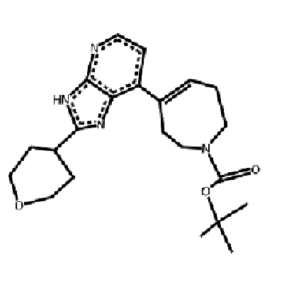 CC(C)(C)OC(=O)N1CCC=C(c2ccnc3[nH]c(C4CCOCC4)nc23)CC1